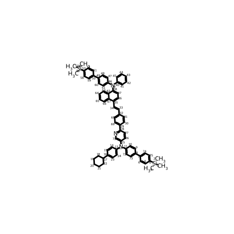 C[Si](C)(C)c1ccc(-c2ccc(N(c3ccc(C4CCCCC4)cc3)c3ccc(-c4ccc(/C=C/c5ccc(N(c6ccccc6)c6ccc(-c7ccc([Si](C)(C)C)cc7)cc6)c6ccccc56)cc4)nc3)cc2)cc1